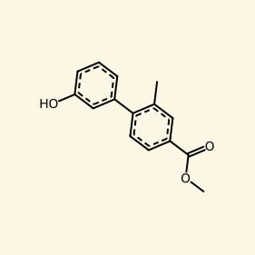 COC(=O)c1ccc(-c2cccc(O)c2)c(C)c1